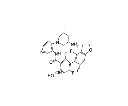 C[C@@H]1C[C@H](N)CN(c2ccncc2NC(=O)c2ccc(F)c(-c3c(F)cc4c(c3F)CCO4)c2F)C1.Cl.Cl